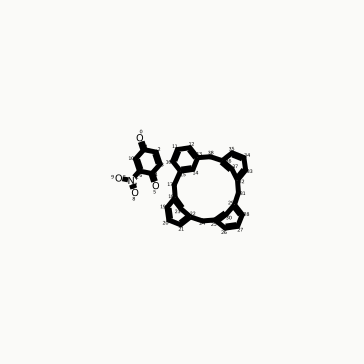 O=C1C=CC(=O)C([N+](=O)[O-])=C1.c1cc2cc(c1)Cc1cccc(c1)Cc1cccc(c1)Cc1cccc(c1)C2